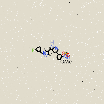 COc1ccc(-c2cnc3[nH]cc(-c4c(C)nn(Cc5cccc(F)c5)c4C)c3c2)cc1NS(C)(=O)=O